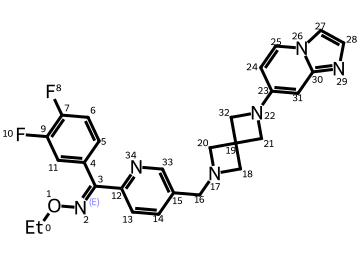 CCO/N=C(\c1ccc(F)c(F)c1)c1ccc(CN2CC3(C2)CN(c2ccn4ccnc4c2)C3)cn1